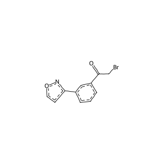 O=C(CBr)c1cccc(-c2ccon2)c1